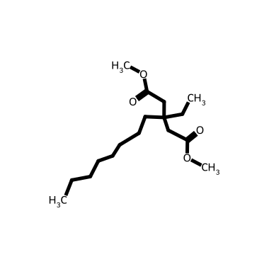 CCCCCCCCC(CC)(CC(=O)OC)CC(=O)OC